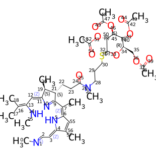 C/N=C/C=c1\[nH]/c(=C(/C)C2=N/C(=C\C(NC)=C(C)C)[C@@H](C)[C@@H]2CCC(=O)N(C)CCCS[C@@H]2O[C@H](COC(C)=O)[C@@H](OC(C)=O)[C@H](OC(C)=O)[C@H]2OC(C)=O)cc1C